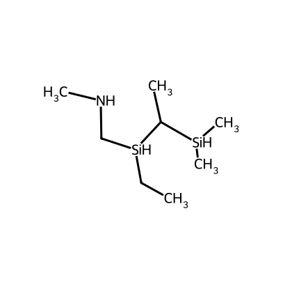 CC[SiH](CNC)C(C)[SiH](C)C